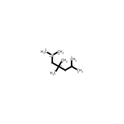 C[C](C)CC(C)(C)C[Si](C)C